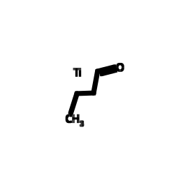 CCCC=O.[Ti]